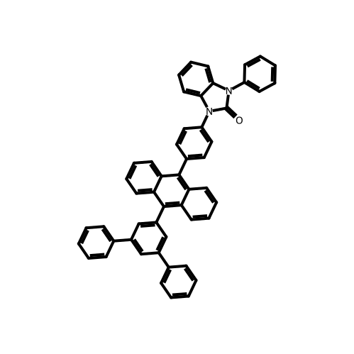 O=c1n(-c2ccccc2)c2ccccc2n1-c1ccc(-c2c3ccccc3c(-c3cc(-c4ccccc4)cc(-c4ccccc4)c3)c3ccccc23)cc1